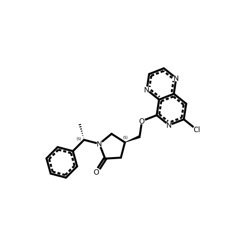 C[C@@H](c1ccccc1)N1C[C@@H](COc2nc(Cl)cc3nccnc23)CC1=O